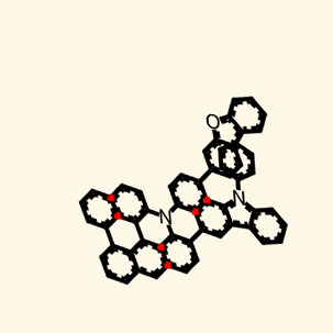 c1ccc(-c2cccc3cccc(-c4ccccc4N(c4ccc(-c5ccc6c(c5)oc5ccccc56)cc4)c4ccccc4-c4ccc5c(c4)c4ccccc4n5-c4ccccc4)c23)cc1